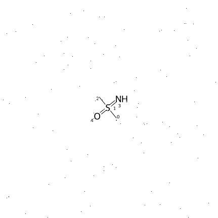 [CH2]S(C)(=N)=O